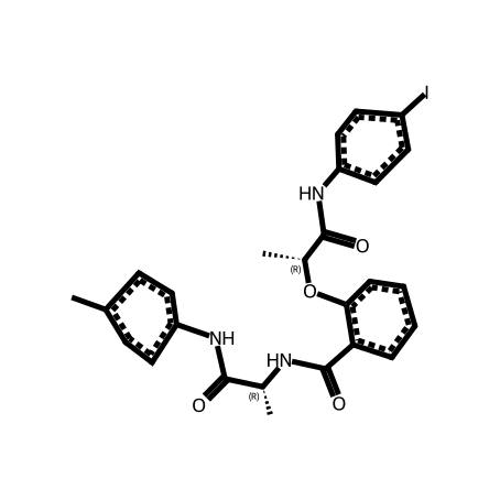 Cc1ccc(NC(=O)[C@@H](C)NC(=O)c2ccccc2O[C@H](C)C(=O)Nc2ccc(I)cc2)cc1